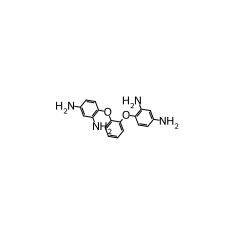 Nc1ccc(Oc2ccccc2Oc2ccc(N)cc2N)c(N)c1